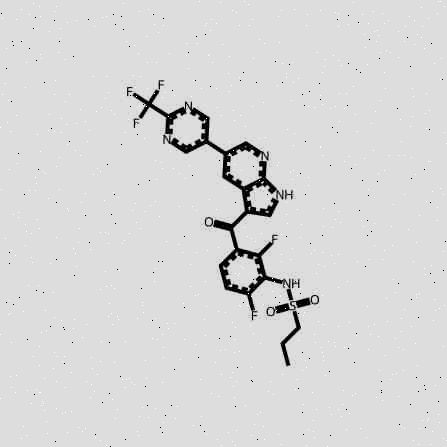 CCCS(=O)(=O)Nc1c(F)ccc(C(=O)c2c[nH]c3ncc(-c4cnc(C(F)(F)F)nc4)cc23)c1F